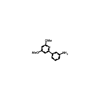 COc1cc(OC)nc(-c2cccc(N)c2)c1